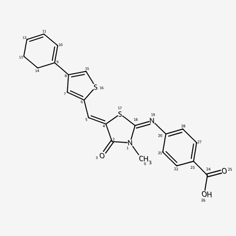 CN1C(=O)/C(=C/c2cc(C3=CC=CCC3)cs2)S/C1=N/c1ccc(C(=O)O)cc1